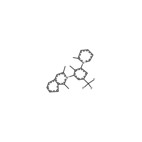 Cc1c(-[n+]2ccccc2C)cc(C(F)(F)F)cc1-[n+]1c(C)cc2ccccc2c1C